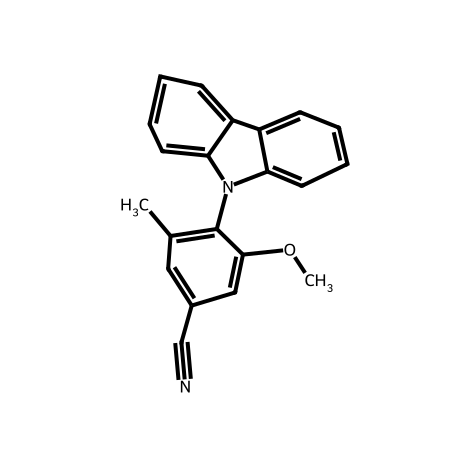 COc1cc(C#N)cc(C)c1-n1c2ccccc2c2ccccc21